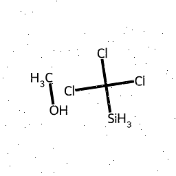 CO.[SiH3]C(Cl)(Cl)Cl